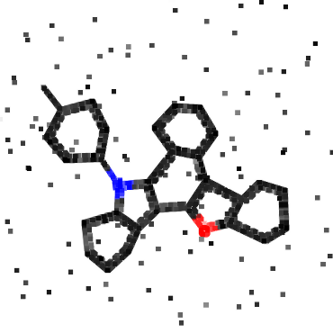 Cc1ccc(-n2c3ccccc3c3c4oc5ccccc5c4c4ccccc4c32)cc1